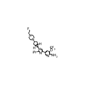 CC(C)c1nc(-c2cnc(N)c(OC(F)(F)F)c2)cn1[C@H]1[C@@H]2CC(N3CCN(CCF)CC3)C[C@@H]21